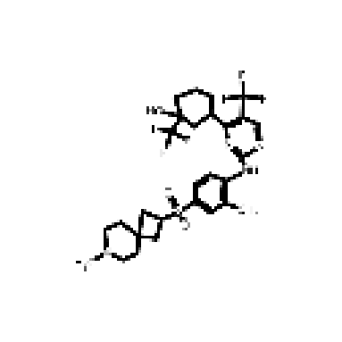 Cc1cc(S(=O)(=O)C2CC3(CCN(C)CC3)C2)ccc1Nc1ncc(C(F)(F)F)c(C2CCCC(O)(C(F)(F)F)C2)n1